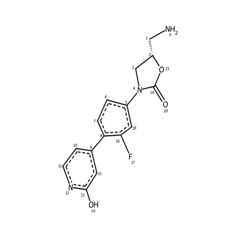 NC[C@H]1CN(c2ccc(-c3ccnc(O)c3)c(F)c2)C(=O)O1